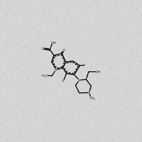 CCn1cc(C(=O)O)c(=O)c2cc(F)c(N3CCN(C)CC3CO)c(F)c21